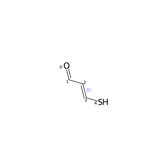 O=C/C=C/S